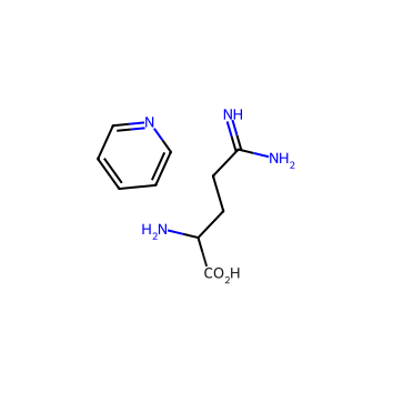 N=C(N)CCC(N)C(=O)O.c1ccncc1